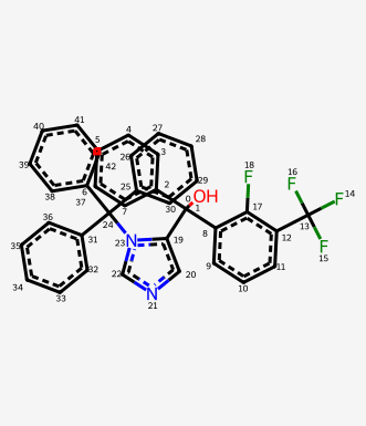 OC(c1ccccc1)(c1cccc(C(F)(F)F)c1F)c1cncn1C(c1ccccc1)(c1ccccc1)c1ccccc1